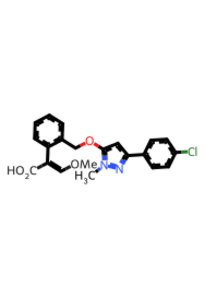 CO/C=C(/C(=O)O)c1ccccc1COc1cc(-c2ccc(Cl)cc2)nn1C